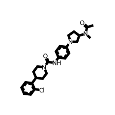 CC(=O)N(C)C1CCN(c2ccc(NC(=O)N3CCC(c4ccccc4Cl)CC3)cc2)C1